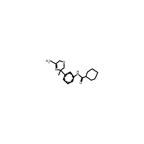 CC1(c2cccc(NC(=O)C3CCCCC3)c2)COCC(N)=N1